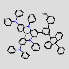 CC(C)(C)c1cccc(-c2cc(-c3cc4c5c(c3)N(c3ccccc3)c3cc(N(c6ccccc6)c6ccccc6)ccc3B5c3ccc(N(c5ccccc5)c5ccccc5)cc3N4c3ccccc3)cc(-c3c4ccccc4c(-c4ccccc4)c4ccccc34)c2)c1